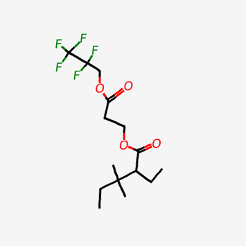 CCC(C(=O)OCCC(=O)OCC(F)(F)C(F)(F)F)C(C)(C)CC